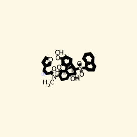 COc1ccc2c3c1O[C@H]1[C@H](N(C)C(=O)/C=C\c4ccoc4)CC[C@@]4(O)[C@@H](C2)N(S(=O)(=O)c2cccc5ccccc25)CC[C@]314